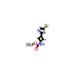 CC(C)(C)OC(=O)NC1CC(c2ncc(Br)s2)C1